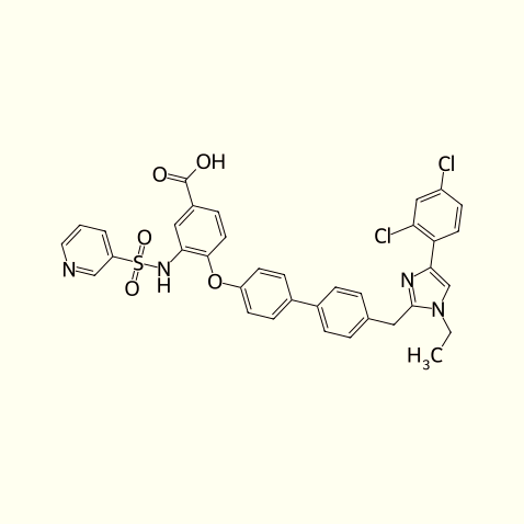 CCn1cc(-c2ccc(Cl)cc2Cl)nc1Cc1ccc(-c2ccc(Oc3ccc(C(=O)O)cc3NS(=O)(=O)c3cccnc3)cc2)cc1